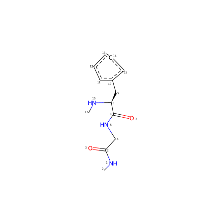 CNC(=O)CNC(=O)[C@H](Cc1ccccc1)NC